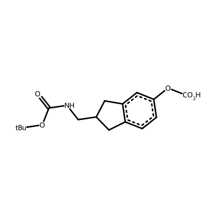 CC(C)(C)OC(=O)NCC1Cc2ccc(OC(=O)O)cc2C1